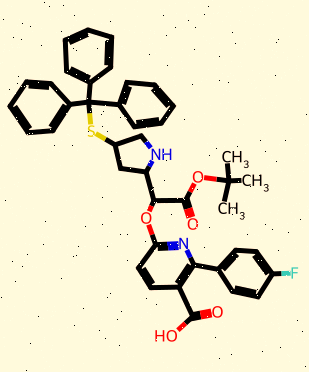 CC(C)(C)OC(=O)C(Oc1ccc(C(=O)O)c(-c2ccc(F)cc2)n1)C1CC(SC(c2ccccc2)(c2ccccc2)c2ccccc2)CN1